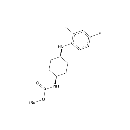 CC(C)(C)OC(=O)N[C@H]1CC[C@@H](Nc2ccc(F)cc2F)CC1